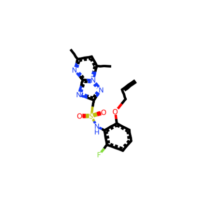 C=CCOc1cccc(F)c1NS(=O)(=O)c1nc2nc(C)cc(C)n2n1